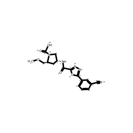 COC[C@@H]1C[C@@H](NC(=O)c2nnc(-c3cccc(C#N)c3)o2)CN1C(=O)O